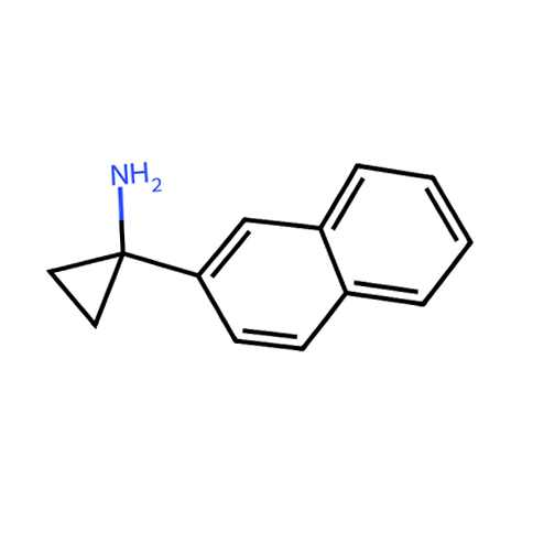 NC1(c2ccc3ccccc3c2)CC1